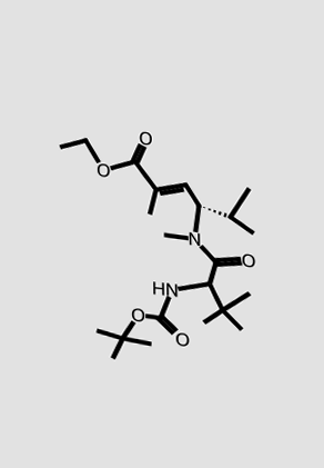 CCOC(=O)/C(C)=C/[C@H](C(C)C)N(C)C(=O)C(NC(=O)OC(C)(C)C)C(C)(C)C